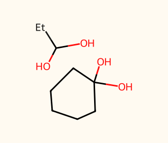 CCC(O)O.OC1(O)CCCCC1